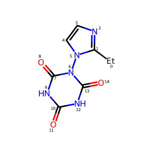 CCc1nccn1-n1c(=O)[nH]c(=O)[nH]c1=O